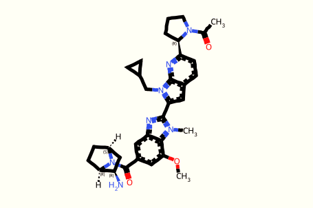 COc1cc(C(=O)N2[C@H]3CC[C@@H]2[C@H](N)C3)cc2nc(-c3cc4ccc([C@H]5CCCN5C(C)=O)nc4n3CC3CC3)n(C)c12